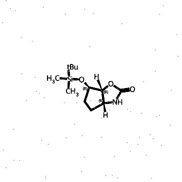 CC(C)(C)[Si](C)(C)O[C@@H]1CC[C@H]2NC(=O)O[C@H]21